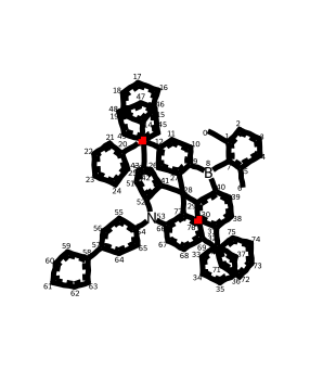 Cc1cccc(C)c1B1c2ccc(B(c3ccccc3)c3ccccc3)cc2C2(c3cc(-c4ccccc4)ccc31)c1cc(-c3ccccc3)ccc1N(c1ccc(-c3ccccc3)cc1)c1ccc(-c3ccccc3)cc12